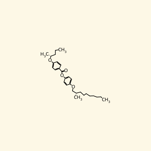 CCCCCCCC[C@H](C)COc1ccc(OC(=O)c2ccc(O[C@H](C)CCC)cc2)cc1